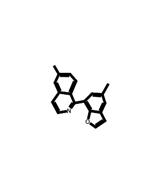 Cc1ccc2c(-c3cc(C)cc4ccoc34)nccc2c1